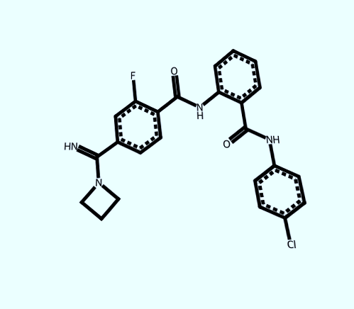 N=C(c1ccc(C(=O)Nc2ccccc2C(=O)Nc2ccc(Cl)cc2)c(F)c1)N1CCC1